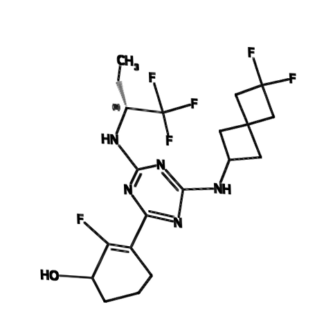 CC[C@@H](Nc1nc(NC2CC3(C2)CC(F)(F)C3)nc(C2=C(F)C(O)CCC2)n1)C(F)(F)F